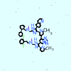 Cc1cccc(-c2nc(CN(I)CCc3c(F)cccc3F)[nH]c2-c2cc(-c3cc(C)nc(-c4nc(CN(I)Cc5ccccc5-c5ccccc5)[nH]c4-c4ccc5ncccc5c4)c3)c3ncnn3c2)n1